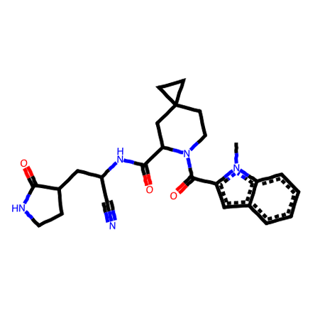 Cn1c(C(=O)N2CCC3(CC3)CC2C(=O)NC(C#N)CC2CCNC2=O)cc2ccccc21